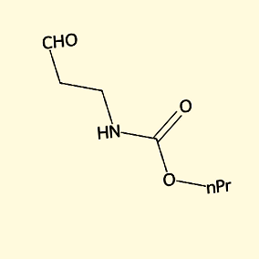 CCCOC(=O)NCCC=O